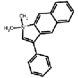 C[N+]1(C)C=C(c2ccccc2)c2cc3ccccc3cc21